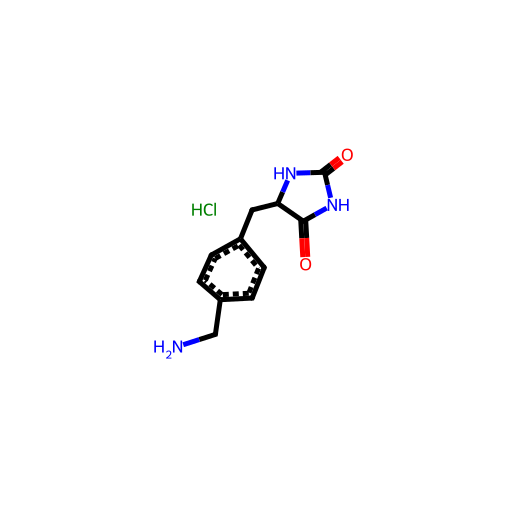 Cl.NCc1ccc(CC2NC(=O)NC2=O)cc1